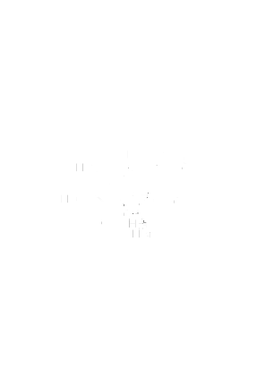 Br.Br.CC1=C(C)C(C)(C)[C]([Zr][C]2=C(C)C(C)=C(C)C2(C)C)=C1C